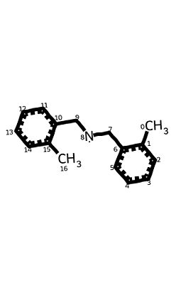 Cc1ccccc1C[N]Cc1ccccc1C